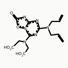 C=CCN(CC=C)c1nc(N(CC(=O)O)CC(=O)O)n2oc(=O)nc2n1